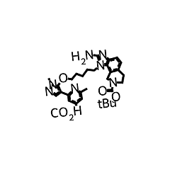 Cc1cc(C(=O)O)cc(-c2cnn(C)c2OCCCCCn2c(N)nc3ccc4c(c32)CN(C(=O)OC(C)(C)C)CC4)n1